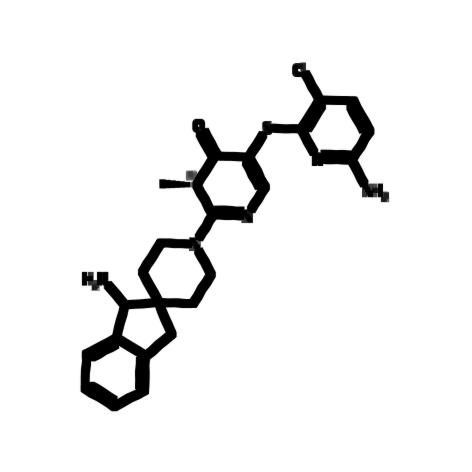 C[C@@H]1C(=O)C(Sc2nc(N)ccc2Cl)=CN=C1N1CCC2(CC1)Cc1ccccc1C2N